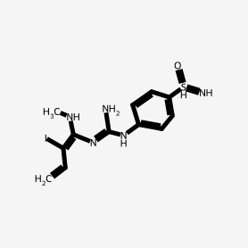 C=C/C(I)=C(\N=C(/N)Nc1ccc([SH](=N)=O)cc1)NC